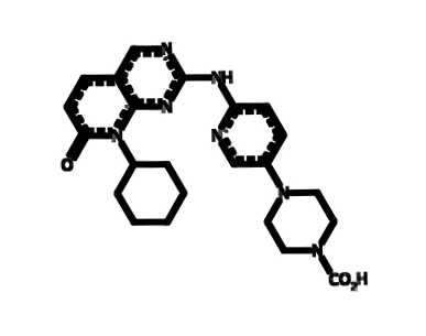 O=C(O)N1CCN(c2ccc(Nc3ncc4ccc(=O)n(C5CCCCC5)c4n3)nc2)CC1